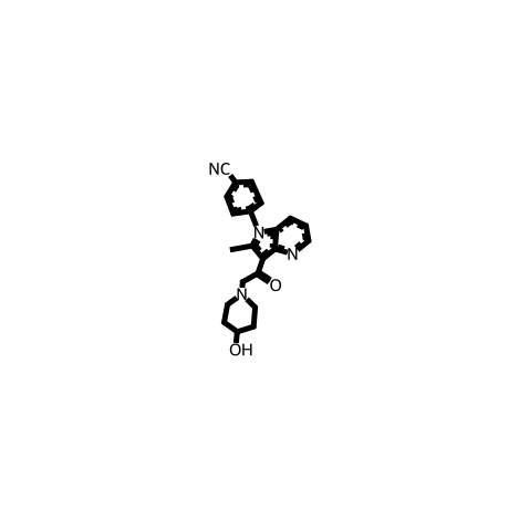 Cc1c(C(=O)CN2CCC(O)CC2)c2ncccc2n1-c1ccc(C#N)cc1